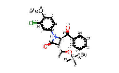 COc1ccc(N2C(=O)[C@@H](C(C)O[Si](C)(C)C(C)(C)C)[C@@H]2C(=O)c2ccccc2)cc1Cl